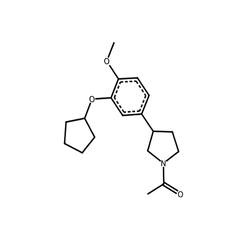 COc1ccc(C2CCN(C(C)=O)C2)cc1OC1CCCC1